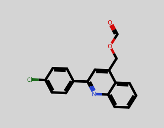 O=COCc1cc(-c2ccc(Cl)cc2)nc2ccccc12